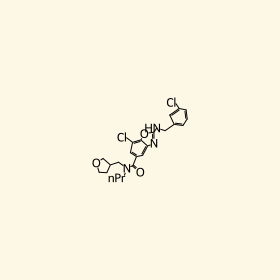 CCCN(CC1CCOC1)C(=O)c1cc(Cl)c2oc(NCc3cccc(Cl)c3)nc2c1